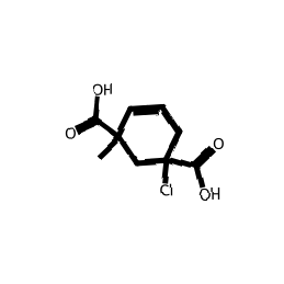 CC1(C(=O)O)C=CCC(Cl)(C(=O)O)C1